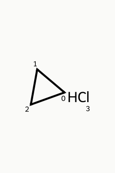 C1CC1.Cl